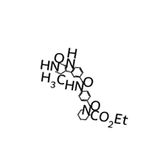 CCOC(=O)C1CCCCN1C(=O)c1ccc(NC(=O)c2ccc3[nH]c4c(c3c2)C(C)CNC4=O)cc1